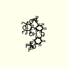 CC1(C)OC(C)(C)C(O)=C(c2cc(Oc3ccc(OC(F)(F)F)cc3)ccc2C2CC2)C1=O